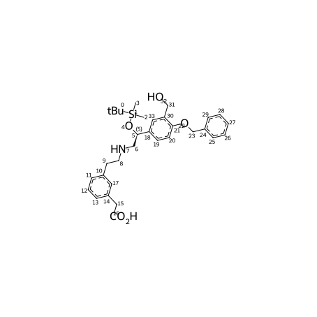 CC(C)(C)[Si](C)(C)O[C@H](CNCCc1cccc(CC(=O)O)c1)c1ccc(OCc2ccccc2)c(CO)c1